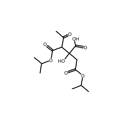 CC(=O)C(C(=O)OC(C)C)C(O)(CC(=O)OC(C)C)C(=O)O